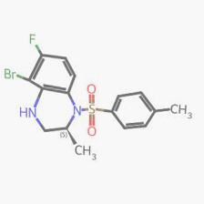 Cc1ccc(S(=O)(=O)N2c3ccc(F)c(Br)c3NC[C@@H]2C)cc1